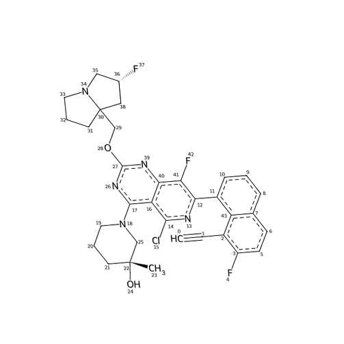 C#Cc1c(F)ccc2cccc(-c3nc(Cl)c4c(N5CCC[C@@](C)(O)C5)nc(OCC56CCCN5C[C@H](F)C6)nc4c3F)c12